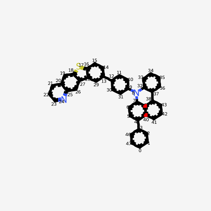 c1ccc(-c2ccc(N(c3ccc(-c4ccc5sc6cc7cccnc7cc6c5c4)cc3)c3ccccc3-c3ccccc3)cc2)cc1